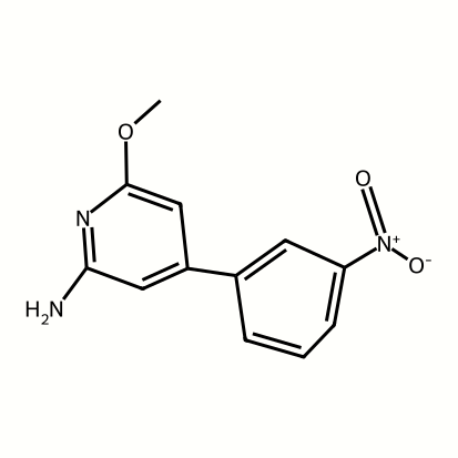 COc1cc(-c2cccc([N+](=O)[O-])c2)cc(N)n1